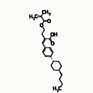 C=C(C)C(=O)OCCC(=Cc1ccc([C@H]2CC[C@H](CCCC)CC2)cc1)C(=O)O